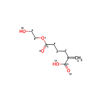 C=C(CCCC(=O)OCCO)C(=O)O